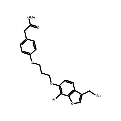 CCCc1c(OCCCOc2ccc(CC(=O)OC)cc2)ccc2c(CC(C)(C)C)coc12